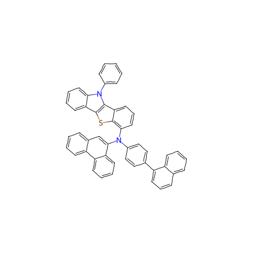 c1ccc(-n2c3ccccc3c3sc4c(N(c5ccc(-c6cccc7ccccc67)cc5)c5cc6ccccc6c6ccccc56)cccc4c32)cc1